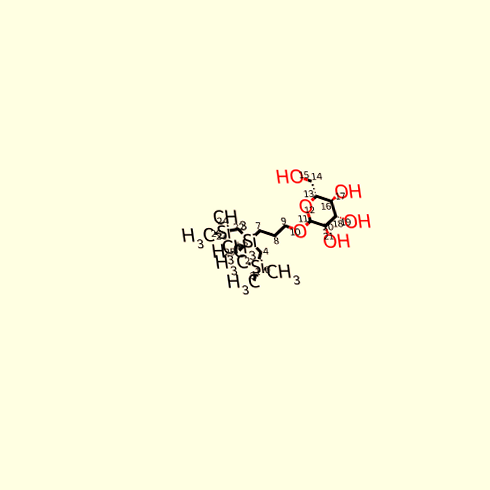 C[Si](C)(C)C[Si](C)(CCCOC1O[C@H](CO)[C@@H](O)[C@H](O)[C@H]1O)C[Si](C)(C)C